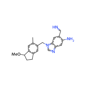 COC1CCc2cc(Cn3cnc4cc(N)c(C=N)cc43)c(C)cc21